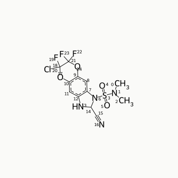 CN(C)S(=O)(=O)N1c2cc3c(cc2NC1C#N)OC(F)(Cl)C(F)(F)O3